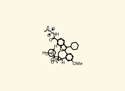 COc1ccc2c(c1)[C@@H]1C[C@]1(C(=O)N1[C@@H]3C[C@H]1CN(S(C)(=O)=O)C3)Cn1c-2c(C2CCCCC2)c2ccc(C(=O)NS(=O)(=O)N(C)C)cc21